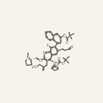 C=C(CO)Cc1c(OC[C@@H]2CCCN2C)nc2c(F)c(-c3cc(OC(=O)C(C)(C)C)cc4ccccc34)c(CCC#N)cc2c1NC1C2CC1N(C(=O)OC(C)(C)C)C2